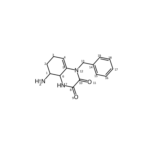 NC1CCC=C2C1NC(=O)C(=O)N2Cc1ccccc1